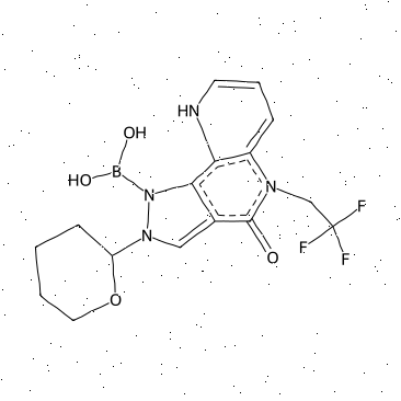 O=c1c2c(c3c(n1CC(F)(F)F)=CC=CN3)N(B(O)O)N(C1CCCCO1)C=2